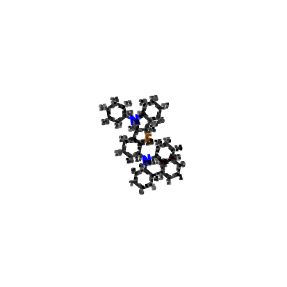 c1ccc(-c2ccccc2N(c2ccccc2)c2cccc3c2sc2c4ccccc4n(-c4ccccc4)c32)cc1